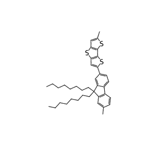 CCCCCCCCC1(CCCCCCCC)c2cc(C)ccc2-c2ccc(-c3cc4sc5cc(C)sc5c4s3)cc21